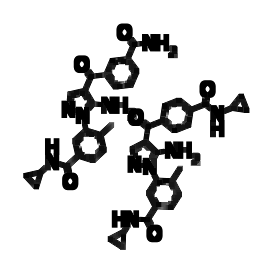 Cc1ccc(C(=O)NC2CC2)cc1-n1ncc(C(=O)c2ccc(C(=O)NC3CC3)cc2)c1N.Cc1ccc(C(=O)NC2CC2)cc1-n1ncc(C(=O)c2cccc(C(N)=O)c2)c1N